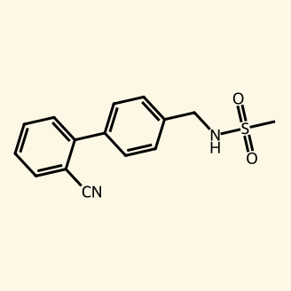 CS(=O)(=O)NCc1ccc(-c2ccccc2C#N)cc1